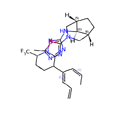 C=C/C=C(\C=C/C)C1CCC(C(F)(F)F)n2nc(N[C@@H]3[C@@H]4CC[C@H]3CN(c3nnc(C)o3)C4)nc21